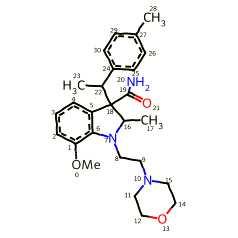 COc1cccc2c1N(CCN1CCOCC1)C(C)C2(C(N)=O)C(C)c1ccc(C)cc1